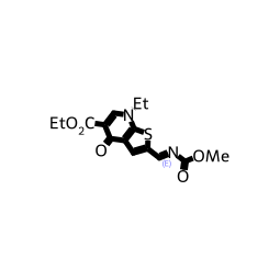 CCOC(=O)c1cn(CC)c2sc(/C=N/C(=O)OC)cc2c1=O